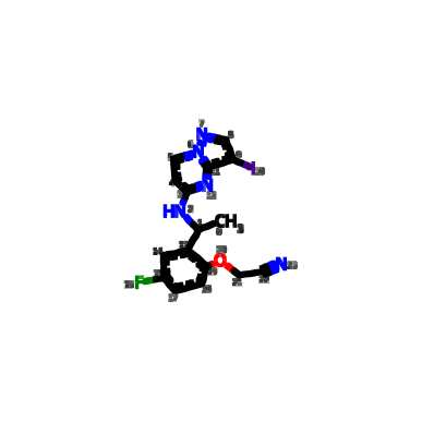 CC(Nc1ccn2ncc(I)c2n1)c1cc(F)ccc1OCC#N